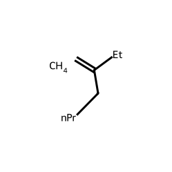 C.C=C(CC)CCCC